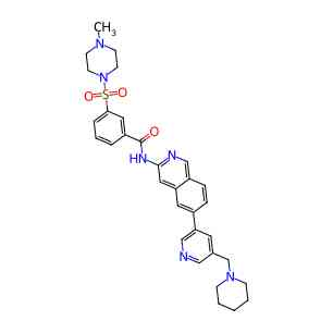 CN1CCN(S(=O)(=O)c2cccc(C(=O)Nc3cc4cc(-c5cncc(CN6CCCCC6)c5)ccc4cn3)c2)CC1